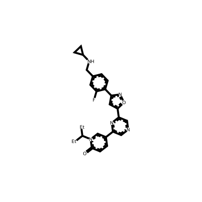 CCC(CC)n1cc(-c2cncc(-c3cc(-c4ccc(CNC5CC5)cc4F)no3)n2)ccc1=O